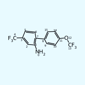 Nc1cc(C(F)(F)F)ccc1-c1ccc(OC(F)(F)F)cc1